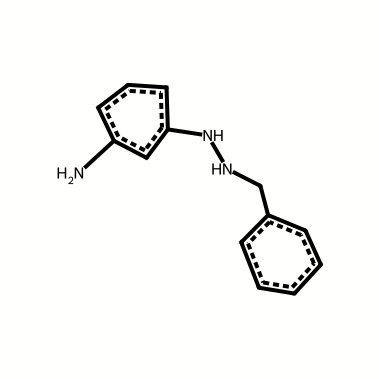 Nc1cccc(NNCc2ccccc2)c1